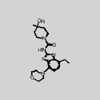 CCc1ccc(N2CCOCC2)c2sc(NC(=O)N3CCC(C)(O)CC3)nc12